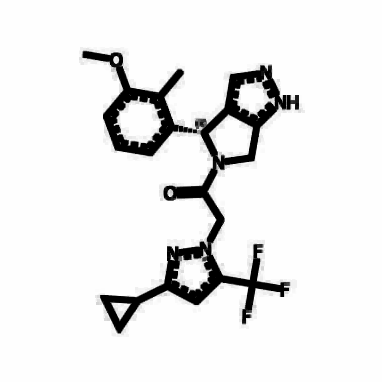 COc1cccc([C@@H]2c3cn[nH]c3CN2C(=O)Cn2nc(C3CC3)cc2C(F)(F)F)c1C